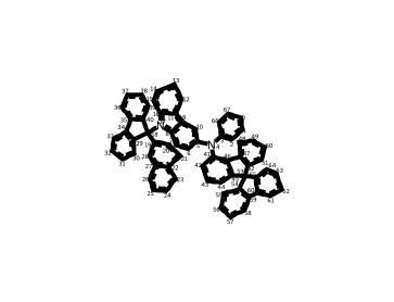 c1ccc(N(c2ccc3c(c2)c2ccccc2n3C2(c3ccc4ccccc4c3)c3ccccc3-c3ccccc32)c2cccc3c2-c2ccccc2C32c3ccccc3-c3ccccc32)cc1